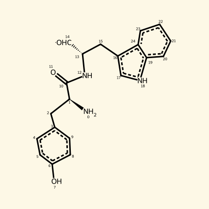 N[C@@H](Cc1ccc(O)cc1)C(=O)N[C@H]([C]=O)Cc1c[nH]c2ccccc12